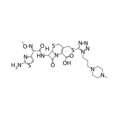 CO/N=C(/C(=O)NC1C(=O)N2C(C(=O)O)=C(CSc3nnnn3CCCN3CCN(C)CC3)CS[C@H]12)c1csc(N)n1